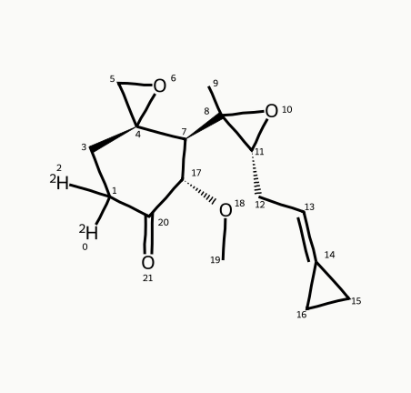 [2H]C1([2H])C[C@]2(CO2)[C@@H](C2(C)O[C@@H]2CC=C2CC2)[C@H](OC)C1=O